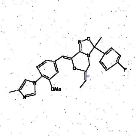 C/C=C1/CN2C(=NOC2(C)c2ccc(F)cc2)C(=Cc2ccc(-n3cnc(C)c3)c(OC)c2)O1